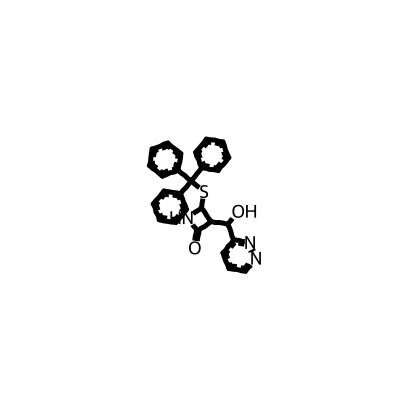 O=C1NC(SC(c2ccccc2)(c2ccccc2)c2ccccc2)C1C(O)c1cccnn1